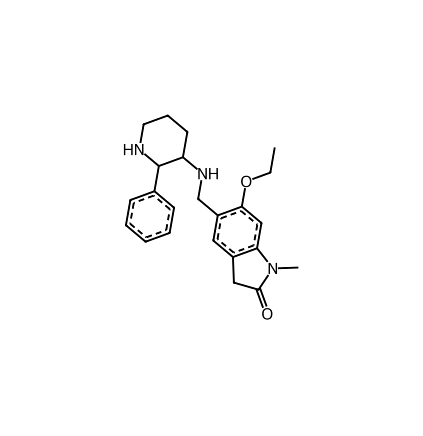 CCOc1cc2c(cc1CNC1CCCNC1c1ccccc1)CC(=O)N2C